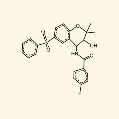 CC1(C)Oc2ccc(S(=O)(=O)c3ccccc3)cc2C(NC(=O)c2ccc(F)cc2)C1O